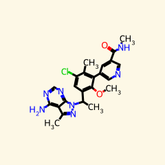 CNC(=O)c1cncc(-c2c(C)c(Cl)cc(C(C)n3nc(C)c4c(N)ncnc43)c2OC)c1